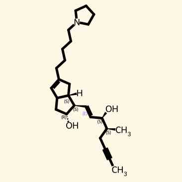 CC#CC[C@H](C)[C@H](O)/C=C/[C@H]1[C@H](O)CC2C=C(CCCCCN3CCCC3)C[C@@H]21